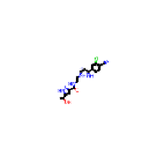 CC(O)c1cc(C(=O)NCCN/C=C\C(=N)c2ccc(C#N)c(Cl)c2)n[nH]1